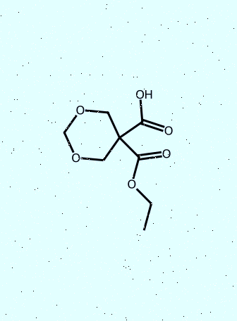 CCOC(=O)C1(C(=O)O)COCOC1